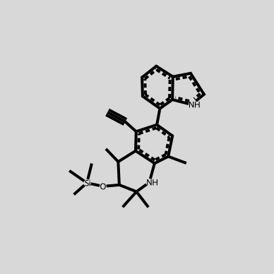 C#Cc1c(-c2cccc3cc[nH]c23)cc(C)c2c1C(C)C(O[Si](C)(C)C)C(C)(C)N2